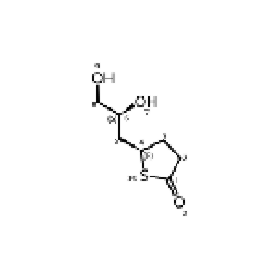 O=C1CC[C@H](C[C@H](O)CO)S1